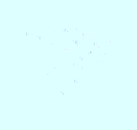 CC[C@@]1(O)C(=O)OCc2c1cc1n(c2=O)Cc2cc3ccccc3nc2-1.CNC(C(=O)N[C@H](C(=O)N(C)[C@H](/C=C(\C)C(=O)O)C(C)C)C(C)(C)C)C(C)(C)c1cn(C)c2ccccc12